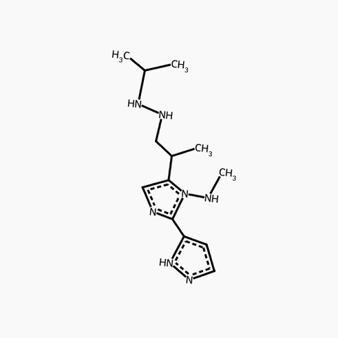 CNn1c(C(C)CNNC(C)C)cnc1-c1ccn[nH]1